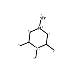 CCCN1CC(C)N(C)C(C)C1